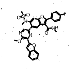 CNC(=O)c1c(-c2ccc(F)cc2)oc2cc(N(C)S(C)(=O)=O)c(-c3cnc(OC)c(-c4cc5ccccc5o4)n3)cc12